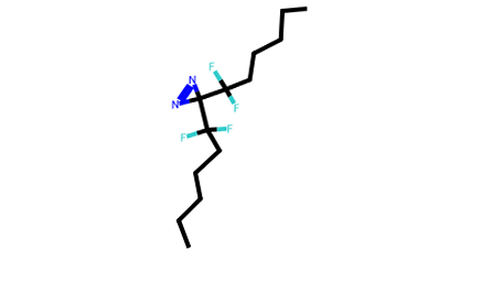 CCCCCC(F)(F)C1(C(F)(F)CCCCC)N=N1